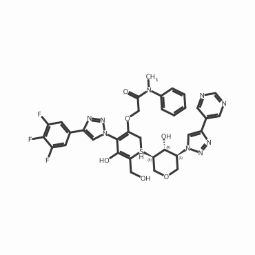 CN(C(=O)COC1=C(n2cc(-c3cc(F)c(F)c(F)c3)nn2)C(O)=C(CO)[SH]([C@@H]2COC[C@H](n3cc(-c4cncnc4)nn3)[C@H]2O)C1)c1ccccc1